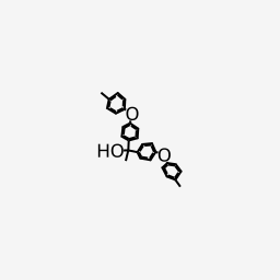 Cc1ccc(Oc2ccc(C(C)(O)c3ccc(Oc4ccc(C)cc4)cc3)cc2)cc1